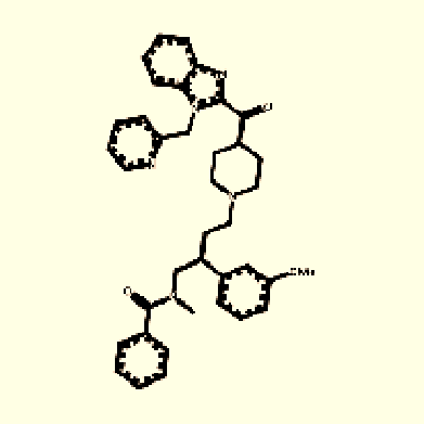 COc1cccc(C(CCN2CCC(C(=O)c3nc4ccccc4n3Cc3ccccn3)CC2)CN(C)C(=O)c2ccccc2)c1